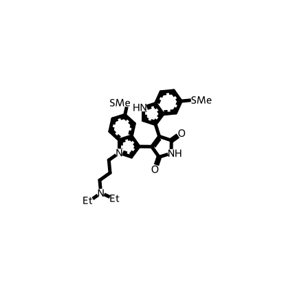 CCN(CC)CCCn1cc(C2=C(c3c[nH]c4ccc(SC)cc34)C(=O)NC2=O)c2cc(SC)ccc21